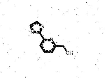 OCc1cccc(-c2nccs2)n1